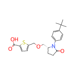 CC(C)(C)c1ccc(N2C(=O)CC[C@@H]2COCc2ccc(C(=O)O)s2)cc1